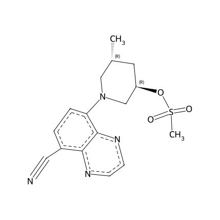 C[C@@H]1C[C@@H](OS(C)(=O)=O)CN(c2ccc(C#N)c3nccnc23)C1